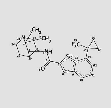 CC1(C)C(NC(=O)c2cc3cccc(C4(C(F)(F)F)CC4)c3s2)C2CCN1CC2